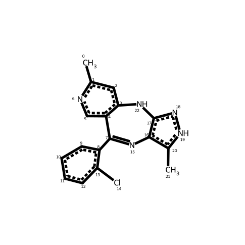 Cc1cc2c(cn1)C(c1ccccc1Cl)=Nc1c(n[nH]c1C)N2